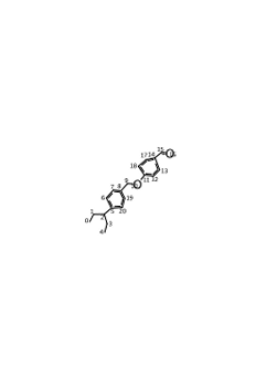 CCC(CC)c1ccc(COc2ccc(C=O)cc2)cc1